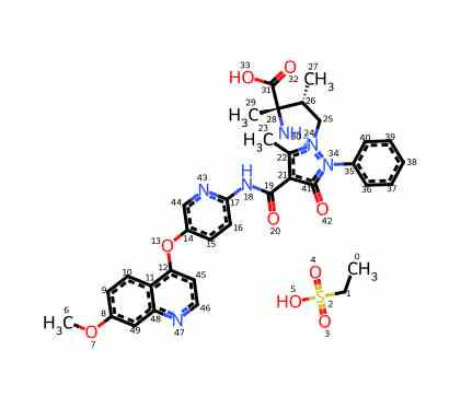 CCS(=O)(=O)O.COc1ccc2c(Oc3ccc(NC(=O)c4c(C)n(C[C@@H](C)[C@](C)(N)C(=O)O)n(-c5ccccc5)c4=O)nc3)ccnc2c1